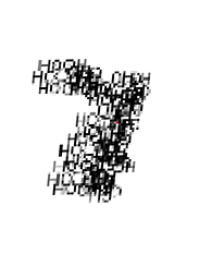 O=P(O)(O)OP(=O)(O)OP(=O)(O)OC1C(O)C(O)C(O)C(O)C1O.O=P(O)(O)OP(=O)(O)OP(=O)(O)OC1C(O)C(O)C(O)C(O)C1O.O=P(O)(O)OP(=O)(O)OP(=O)(O)O[C@@]1(O)[C@@H](O)[C@H](O)[C@@H](O)[C@H](O)[C@@H]1O.O=P(O)(O)OP(=O)(O)OP(=O)(O)O[C@@]1(O)[C@@H](O)[C@H](O)[C@@H](O)[C@H](O)[C@@H]1O.O=P(O)(O)OP(=O)(O)OP(=O)(O)O[C@@]1(O)[C@@H](O)[C@H](O)[C@@H](O)[C@H](O)[C@@H]1O